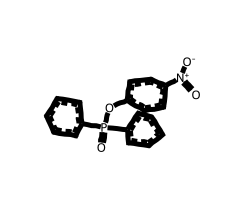 O=[N+]([O-])c1ccc(OP(=O)(c2ccccc2)c2ccccc2)cc1